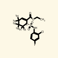 [2H]C1([2H])C=C(C(=O)OCC)[C@H](S(=O)(=O)Nc2ccc(F)cc2Cl)C([2H])([2H])C1([2H])[2H]